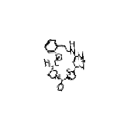 COc1ccccc1CCNc1cc(-c2ccc(C(=O)N3CCCC3)s2)ncn1